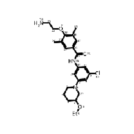 CCOC1CCCN(c2cc(Cl)cc(NC(=O)c3cc(C)c(OCCN)c(C)c3)c2)C1